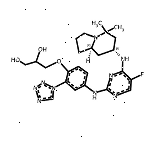 CC1(C)C[C@H](Nc2nc(Nc3ccc(OCC(O)CO)c(-n4cnnn4)c3)ncc2F)C[C@H]2CCCN21